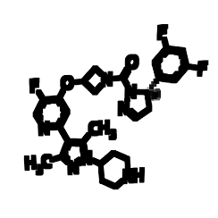 Cc1nn(C2CCNCC2)c(C)c1-c1cc(OC2CN(C(=O)N3N=CC[C@H]3c3cc(F)cc(F)c3)C2)c(F)cn1